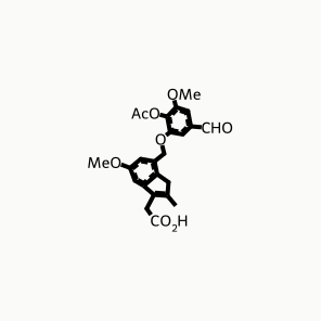 COc1cc(COc2cc(C=O)cc(OC)c2OC(C)=O)c2c(c1)C(CC(=O)O)=C(C)C2